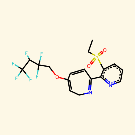 CCS(=O)(=O)c1cccnc1C1=NCC=C(OCC(F)(F)C(F)C(F)(F)F)C=C1